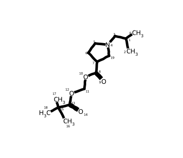 CC(C)CN1CCC(C(=O)OCOC(=O)C(C)(C)C)C1